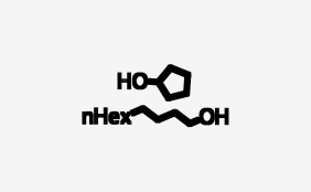 CCCCCCCCCCO.OC1CCCC1